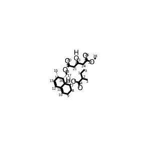 CCC(C)C(=O)O[C@H]1CCC=C2C=C[C@H](C)[C@H](COC(=O)CC(O)CC(=O)OC)[C@H]21